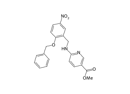 COC(=O)c1ccc(NCc2cc([N+](=O)[O-])ccc2OCc2ccccc2)nc1